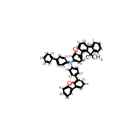 CC1(C)c2ccccc2-c2ccc3oc4cc(N(c5ccc(-c6ccccc6)cc5)c5ccc(-c6cccc7c6oc6ccccc67)cc5)ccc4c3c21